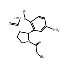 COC(=O)[C@H]1CCN(C(=O)OC(C)(C)C)[C@@H]1c1cc([N+](=O)[O-])ccc1SC(C)C